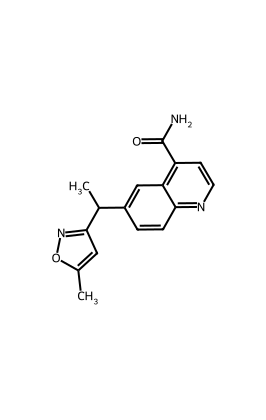 Cc1cc(C(C)c2ccc3nccc(C(N)=O)c3c2)no1